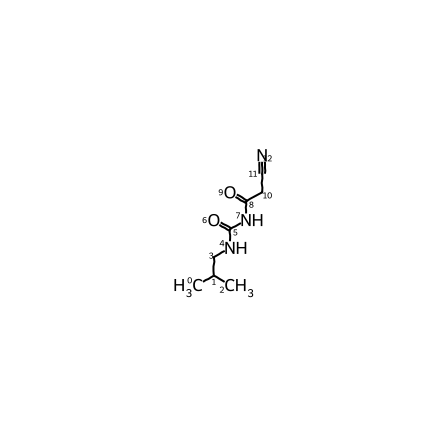 CC(C)CNC(=O)NC(=O)CC#N